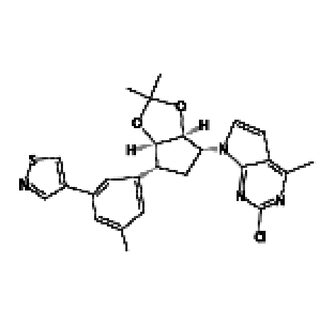 Cc1cc(-c2cnsc2)cc([C@H]2C[C@@H](n3ccc4c(C)nc(Cl)nc43)[C@@H]3OC(C)(C)O[C@@H]32)c1